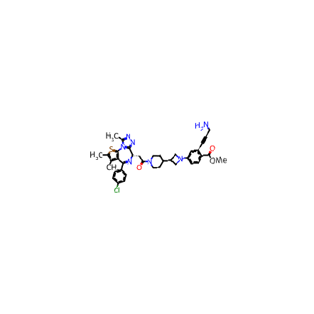 COC(=O)c1ccc(N2CC(C3CCN(C(=O)C[C@@H]4N=C(c5ccc(Cl)cc5)c5c(sc(C)c5C)-n5c(C)nnc54)CC3)C2)cc1C#CCN